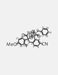 CCOC(Cc1ccc(C#N)cc1NS(=O)(=O)Cc1ccccc1)(C(N)=O)c1ccc(OC)cc1F